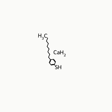 CCCCCCCCCc1ccc(S)cc1.[CaH2]